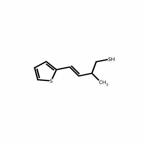 CC(/C=C/c1cccs1)CS